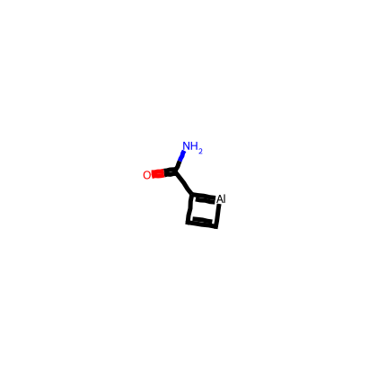 NC(=O)[C]1=[Al][CH]=C1